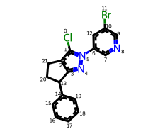 Clc1c2c(nn1-c1cncc(Br)c1)C(c1ccccc1)CC2